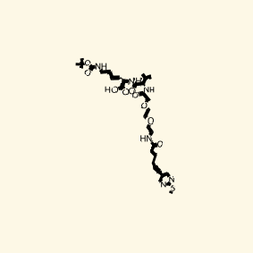 CSc1ncc(C#CCCCC(=O)NCCOCCOCC(=O)N[C@H](C(=O)N[C@@H](CCCCNC(=O)OC(C)(C)C)C(=O)O)C(C)C)cn1